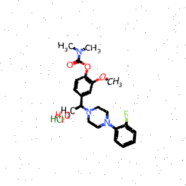 COc1cc(C(C)N2CCN(c3ccccc3F)CC2)ccc1OC(=O)N(C)C.Cl.O